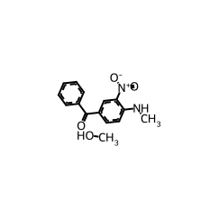 CNc1ccc(C(=O)c2ccccc2)cc1[N+](=O)[O-].CO